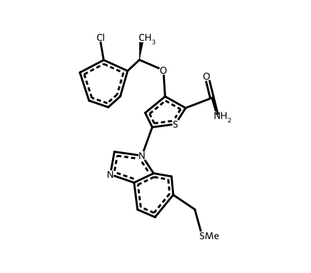 CSCc1ccc2ncn(-c3cc(O[C@H](C)c4ccccc4Cl)c(C(N)=O)s3)c2c1